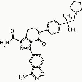 CC(C)(CN1CCCC1)c1ccc(N2CCc3c(C(N)=O)nn(-c4ccc5onc(N)c5c4)c3C2=O)cc1